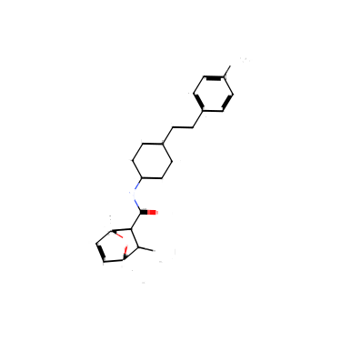 COc1ccc(CCC2CCC(NC(=O)C3C(C(=O)O)[C@H]4C=C[C@@H]3O4)CC2)cc1